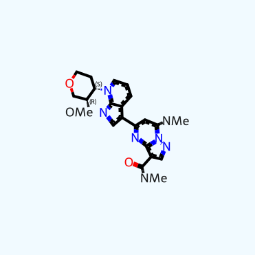 CNC(=O)c1cnn2c(NC)cc(-c3cnc4n([C@H]5CCOC[C@@H]5OC)cccc3-4)nc12